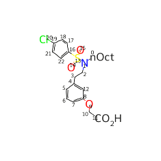 CCCCCCCCN(CCc1cccc(OCC(=O)O)c1)S(=O)(=O)c1ccc(Cl)cc1